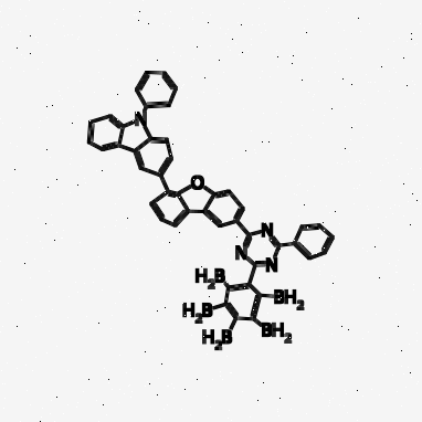 Bc1c(B)c(B)c(-c2nc(-c3ccccc3)nc(-c3ccc4oc5c(-c6ccc7c(c6)c6ccccc6n7-c6ccccc6)cccc5c4c3)n2)c(B)c1B